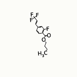 CCCCOC(=O)c1ccc(/C=C/C(F)(F)F)cc1F